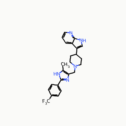 Cc1[nH]c(-c2ccc(C(F)(F)F)cc2)nc1CN1CCC(c2c[nH]c3ncccc23)CC1